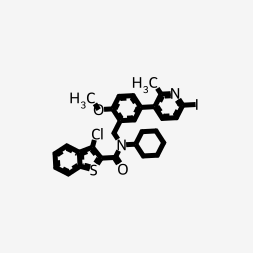 COc1ccc(-c2ccc(I)nc2C)cc1CN(C(=O)c1sc2ccccc2c1Cl)C1CCCCC1